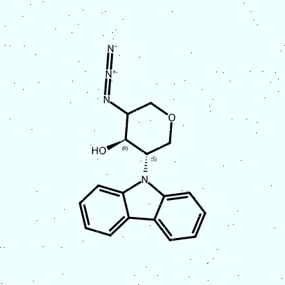 [N-]=[N+]=NC1COC[C@H](n2c3ccccc3c3ccccc32)[C@H]1O